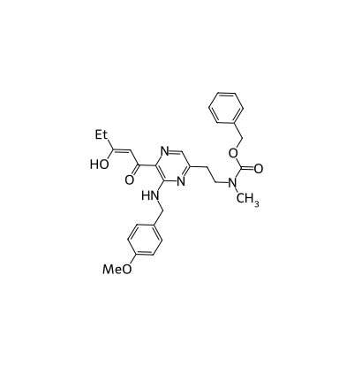 CCC(O)=CC(=O)c1ncc(CCN(C)C(=O)OCc2ccccc2)nc1NCc1ccc(OC)cc1